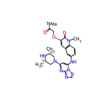 CNC(=O)COc1cc2cc(Nc3cc(N4C[C@@H](C)N[C@@H](C)C4)nc4ncnn34)ccc2n(C)c1=O